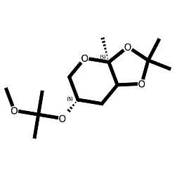 COC(C)(C)O[C@@H]1CO[C@@]2(C)OC(C)(C)OC2C1